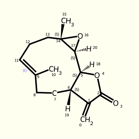 C=C1C(=O)O[C@H]2[C@H]1CC/C(C)=C/CC[C@]1(C)O[C@@H]21